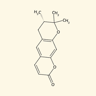 C[C@H]1Cc2cc3ccc(=O)oc3cc2OC1(C)C